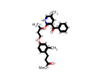 COC(=O)CCc1ccc(OCCC(C)Oc2ncc(C(F)(F)F)cc2C(=O)c2ccccc2)cc1C